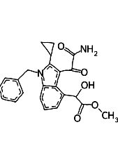 COC(=O)C(O)c1cccc2c1c(C(=O)C(N)=O)c(C1CC1)n2Cc1ccccc1